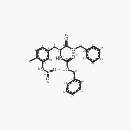 Cc1ccc(C[C@H](NC(=O)OCc2ccccc2)C(=O)OCc2ccccc2)cc1OP(=O)=O